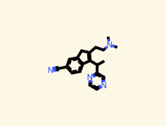 CC(C1=C(CCN(C)C)Cc2cc(C#N)ccc21)c1cnccn1